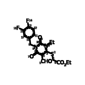 CCOC(=O)CSc1c(C=O)c(=O)n(Cc2ccc(F)c(F)c2)c(=O)n1CC